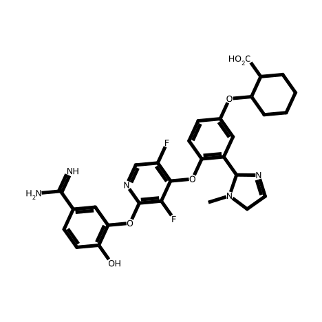 CN1CC=NC1c1cc(OC2CCCCC2C(=O)O)ccc1Oc1c(F)cnc(Oc2cc(C(=N)N)ccc2O)c1F